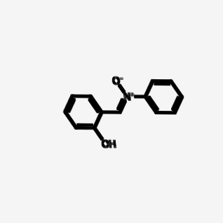 [O-]/[N+](=C\c1ccccc1O)c1ccccc1